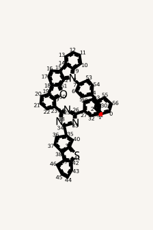 c1ccc(-c2ccc(-n3c4ccccc4c4ccc5c6cccc(-c7nc(-c8ccccc8)nc(-c8ccc9c(c8)sc8ccccc89)n7)c6oc5c43)cc2)cc1